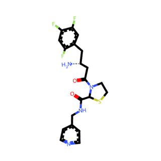 N[C@@H](CC(=O)N1CCSC1C(=O)NCc1ccncc1)Cc1cc(F)c(F)cc1F